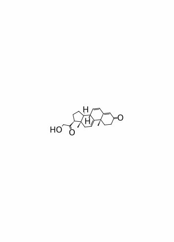 C[C@]12CCC(=O)C=C1C=C[C@@H]1C2=CC[C@]2(C)[C@@H](C(=O)CO)CC[C@@H]12